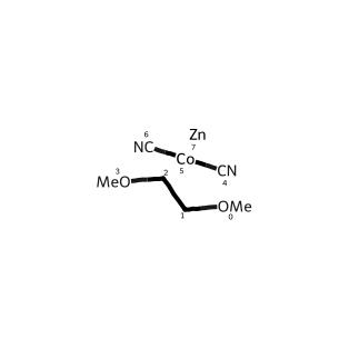 COCCOC.N#[C][Co][C]#N.[Zn]